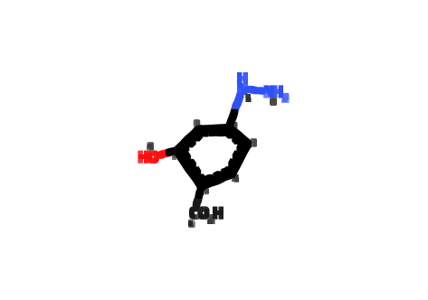 NNc1ccc(C(=O)O)c(O)c1